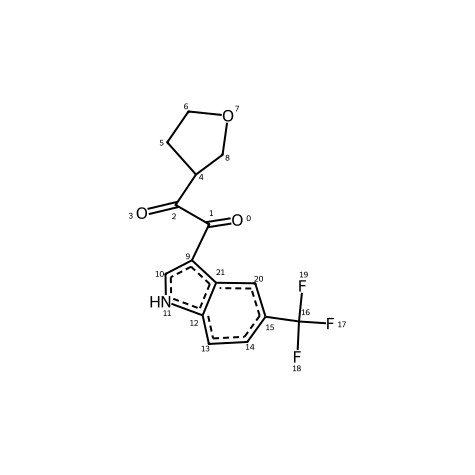 O=C(C(=O)C1CCOC1)c1c[nH]c2ccc(C(F)(F)F)cc12